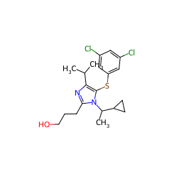 CC(C)c1nc(CCCO)n(C(C)C2CC2)c1Sc1cc(Cl)cc(Cl)c1